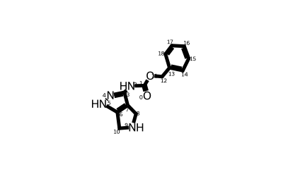 O=C(Nc1n[nH]c2c1CNC2)OCc1ccccc1